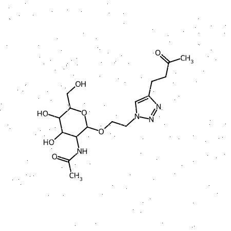 CC(=O)CCc1cn(CCOC2OC(CO)C(O)C(O)C2NC(C)=O)nn1